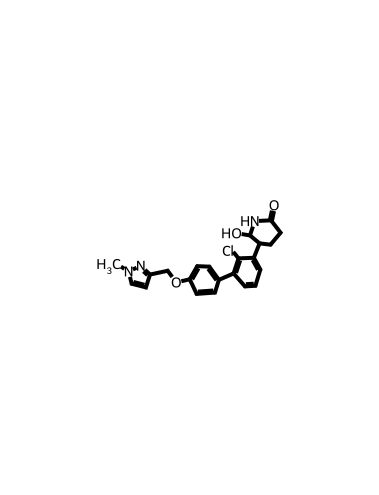 Cn1ccc(COc2ccc(-c3cccc(C4CCC(=O)NC4O)c3Cl)cc2)n1